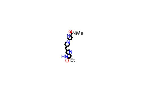 CCc1cc2ncc(C=C3CCN(c4ccc(C(=O)NC)nc4)CC3)cc2[nH]c1=O